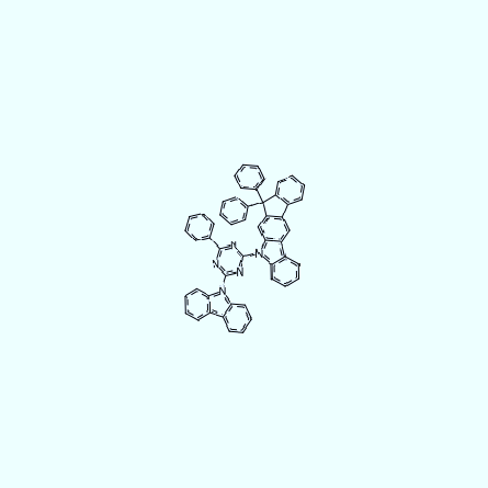 c1ccc(-c2nc(-n3c4ccccc4c4ccccc43)nc(-n3c4ccccc4c4cc5c(cc43)C(c3ccccc3)(c3ccccc3)c3ccccc3-5)n2)cc1